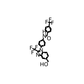 O=C(Nc1ccc(-n2c(C(F)(F)F)nc3cc(CO)ccc32)cc1)c1ccc(C(F)(F)F)cc1